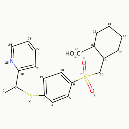 CC(Sc1ccc(S(=O)(=O)CC2CCCCC2C(=O)O)cc1)c1ccccn1